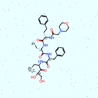 CC(C)CC(NC(=O)[C@H](Cc1ccccc1)NC(=O)[C@H](CC(C)C)NC(=O)[C@H](CCc1ccccc1)NC(=O)CN1CCOCC1)C(=O)[C@](C)(O)CO